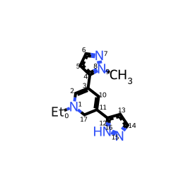 CCN1C=C(c2ccnn2C)C=C(c2ccn[nH]2)C1